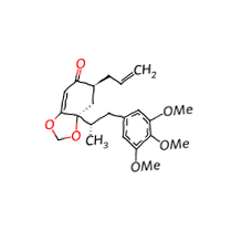 C=CC[C@H]1C[C@]2([C@@H](C)Cc3cc(OC)c(OC)c(OC)c3)OCOC2=CC1=O